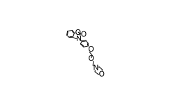 O=C1Oc2ccccc2CN1c1ccc(OCCOCCN2CCOCC2)cc1